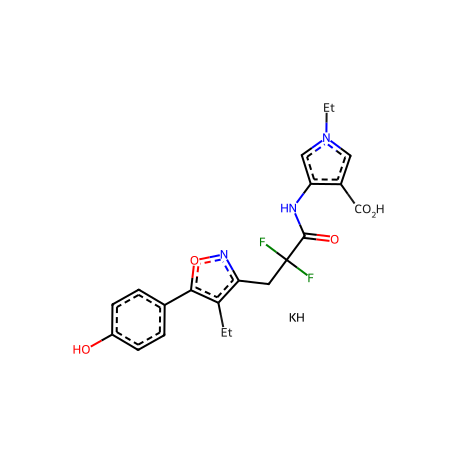 CCc1c(CC(F)(F)C(=O)Nc2cn(CC)cc2C(=O)O)noc1-c1ccc(O)cc1.[KH]